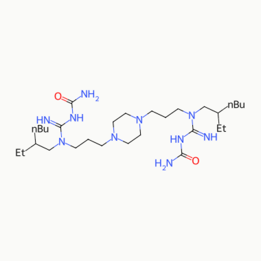 CCCCC(CC)CN(CCCN1CCN(CCCN(CC(CC)CCCC)C(=N)NC(N)=O)CC1)C(=N)NC(N)=O